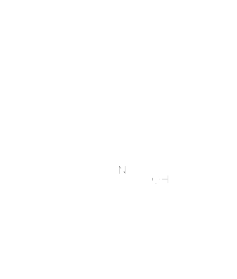 On1ccc2c1=CCCC=2